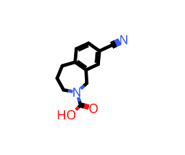 N#Cc1ccc2c(c1)CN(C(=O)O)CCC2